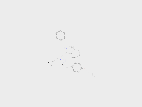 COc1ccc2c(c1)C13CC[C@@H]4CN(Cc5ccccc5)C(CCC(C2)N(CC2CC2)CC1)C43